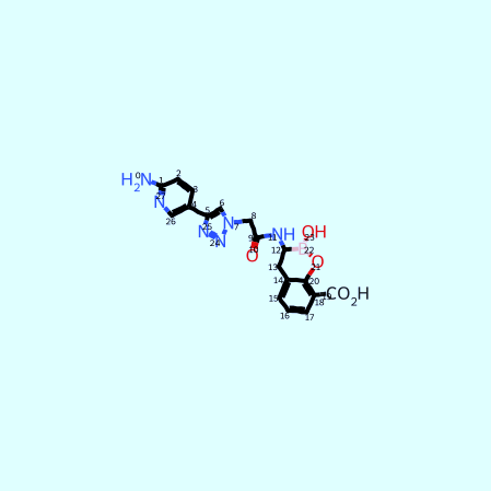 Nc1ccc(-c2cn(CC(=O)NC3Cc4cccc(C(=O)O)c4OB3O)nn2)cn1